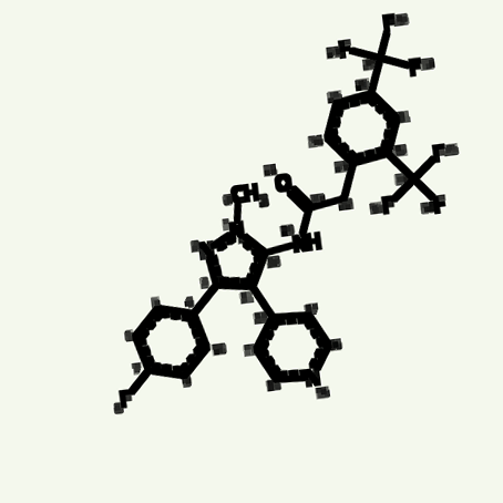 Cn1nc(-c2ccc(F)cc2)c(-c2ccncc2)c1NC(=O)Cc1ccc(C(F)(F)F)cc1C(F)(F)F